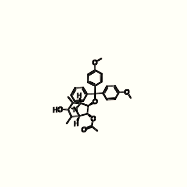 COc1ccc(C(O[C@H]2[C@@H](OC(C)=O)[C@@H]3C(C)C(O)C(C)[C@H]2N3C)(c2ccccc2)c2ccc(OC)cc2)cc1